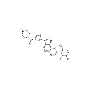 C[C@@H](Oc1c(N)ncc2c(-c3cc(C(=O)N4CCN(C)CC4)cs3)coc12)c1c(Cl)ccc(F)c1Cl